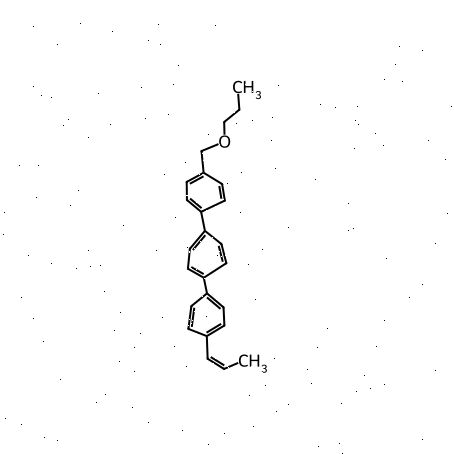 C/C=C\c1ccc(-c2ccc(-c3ccc(COCCC)cc3)cc2)cc1